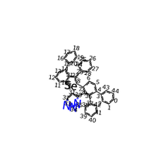 c1ccc(-c2ccc(-c3[se]c4cccc(-c5ccccc5)c4c3-c3ccccc3)c(-c3ccnnn3)c2-c2ccccc2)cc1